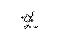 C=CC(=O)NC(CO)C(=O)OC